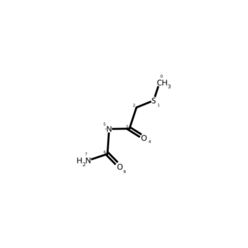 CSCC(=O)[N]C(N)=O